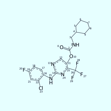 O=C(NCC1CCCCC1)Oc1cnc(Nc2ccc(F)cc2Cl)nc1C(F)(F)F